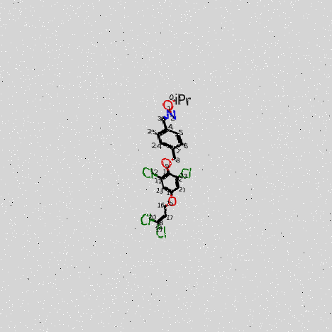 CC(C)O/N=C/c1ccc(COc2c(Cl)cc(OCC=C(Cl)Cl)cc2Cl)cc1